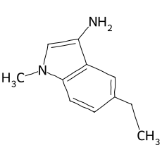 CCc1ccc2c(c1)c(N)cn2C